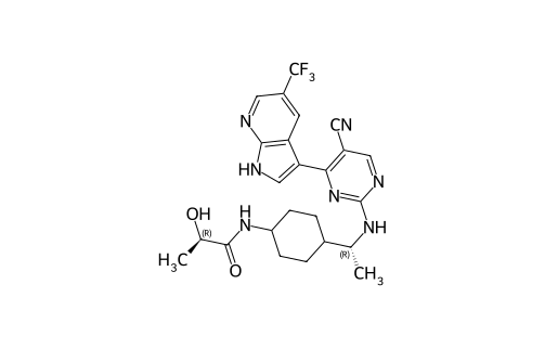 C[C@@H](O)C(=O)NC1CCC([C@@H](C)Nc2ncc(C#N)c(-c3c[nH]c4ncc(C(F)(F)F)cc34)n2)CC1